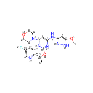 COc1cc(Nc2cc(N3CCOCC3)nc(O[C@@H](C)c3ccc(F)cn3)n2)n[nH]1